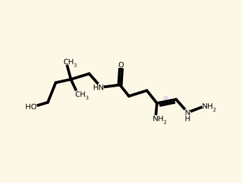 CC(C)(CCO)CNC(=O)CC/C(N)=C/NN